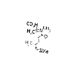 CSSC(C)CCC(=O)N(C)[C@@H](C)C(=O)O